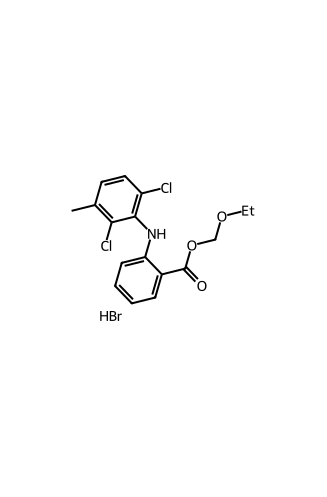 Br.CCOCOC(=O)c1ccccc1Nc1c(Cl)ccc(C)c1Cl